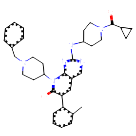 Cc1ccccc1-c1cc2cnc(NC3CCN(C(=O)C4CC4)CC3)nc2n(C2CCN(Cc3ccccc3)CC2)c1=O